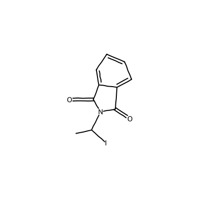 CC(I)N1C(=O)c2ccccc2C1=O